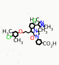 Cc1cc(OCCCc2c3n(c4c(-c5c(C)nn(C)c5C)c(Cl)ccc24)CCN(c2cccc(C(=O)O)c2)C3=O)cc(C)c1Cl